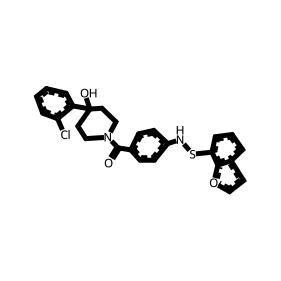 O=C(c1ccc(NSc2cccc3ccoc23)cc1)N1CCC(O)(c2ccccc2Cl)CC1